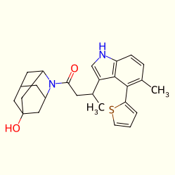 Cc1ccc2[nH]cc(C(C)CC(=O)N3C4CC5CC3CC(O)(C5)C4)c2c1-c1cccs1